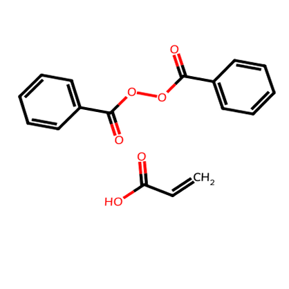 C=CC(=O)O.O=C(OOC(=O)c1ccccc1)c1ccccc1